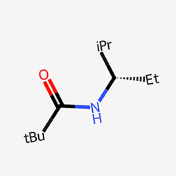 CC[C@H](NC(=O)C(C)(C)C)C(C)C